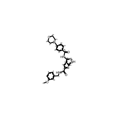 COc1cccc(CNC(=O)c2cc3c(NC(=O)c4ccc(N5CCOCC5)cc4)n[nH]c3s2)c1